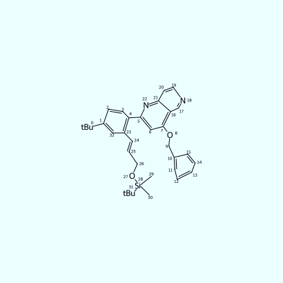 CC(C)(C)c1ccc(-c2cc(OCc3ccccc3)c3cnccc3n2)c(/C=C/CO[Si](C)(C)C(C)(C)C)c1